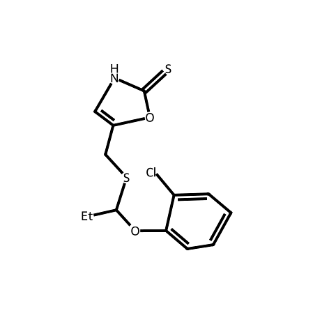 CCC(Oc1ccccc1Cl)SCc1c[nH]c(=S)o1